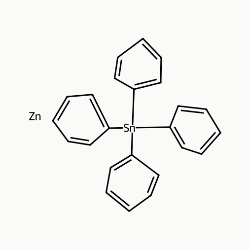 [Zn].c1cc[c]([Sn]([c]2ccccc2)([c]2ccccc2)[c]2ccccc2)cc1